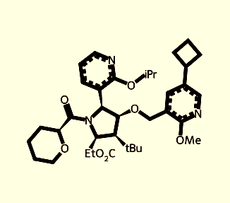 CCOC(=O)[C@@H]1[C@H](C(C)(C)C)[C@H](OCc2cc(C3CCC3)cnc2OC)[C@H](c2cccnc2OC(C)C)N1C(=O)[C@@H]1CCCCO1